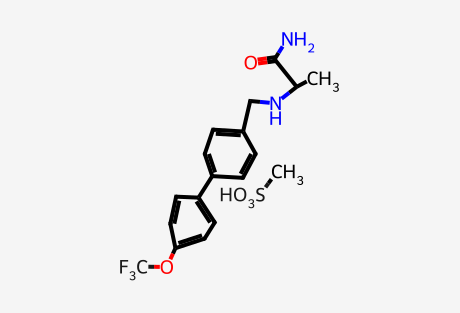 CC(NCc1ccc(-c2ccc(OC(F)(F)F)cc2)cc1)C(N)=O.CS(=O)(=O)O